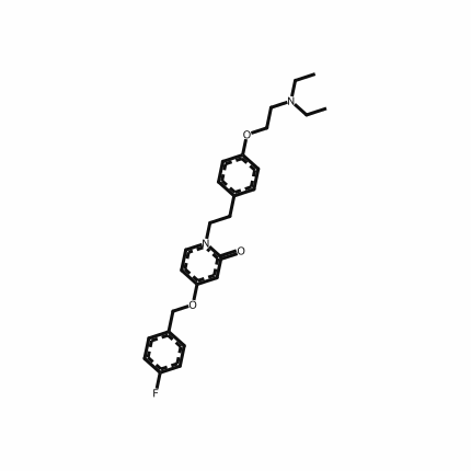 CCN(CC)CCOc1ccc(CCn2ccc(OCc3ccc(F)cc3)cc2=O)cc1